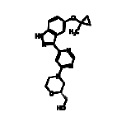 CC1(Oc2ccc3[nH]nc(-c4cc(N5CCO[C@@H](CO)C5)ncn4)c3c2)CC1